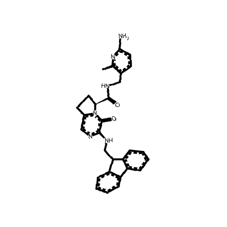 Cc1nc(N)ccc1CNC(=O)[C@@H]1CCc2cnc(NCC3c4ccccc4-c4ccccc43)c(=O)n21